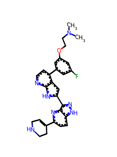 CN(C)CCOc1cc(F)cc(-c2ccnc3[nH]c(-c4n[nH]c5ccc(C6=CCNCC6)nc45)cc23)c1